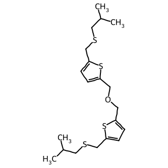 CC(C)CSCc1ccc(COCc2ccc(CSCC(C)C)s2)s1